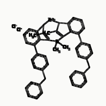 CC1=C2c3c(-c4ccc(Cc5ccccc5)cc4)cccc3[CH]1[Zr+2][CH]1C(C)=C(c3c(-c4ccc(Cc5ccccc5)cc4)cccc31)[Si]2(C)C.[Cl-].[Cl-]